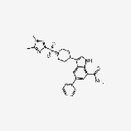 Cc1nc(S(=O)(=O)N2CCC(c3c[nH]c4c(C(N)=O)cc(-c5ccccc5)cc34)CC2)cn1C